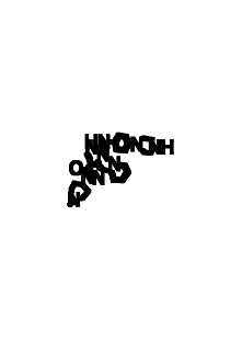 CN1CCC(n2nc(-c3ccccn3)c3nc(Nc4ccc(N5CCNCC5)cc4)ncc3c2=O)CC1